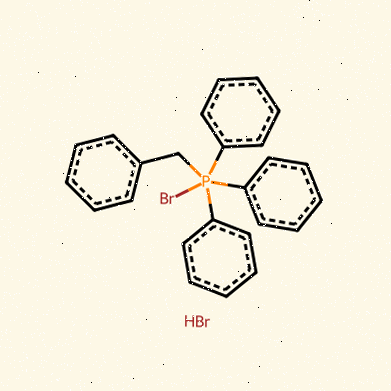 Br.BrP(Cc1ccccc1)(c1ccccc1)(c1ccccc1)c1ccccc1